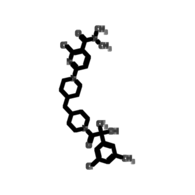 Cc1cc(Cl)cc(C(O)(C(=O)N2CCC(CC3CCN(c4ccc(C(=O)N(C)C)c(Cl)n4)CC3)CC2)C(F)(F)F)c1